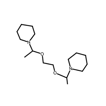 CC(OCCOC(C)N1CCCCC1)N1CCCCC1